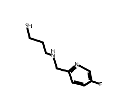 Fc1ccc(CNCCCS)nc1